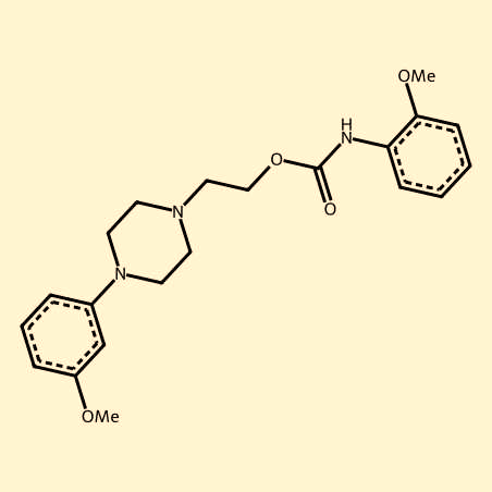 COc1cccc(N2CCN(CCOC(=O)Nc3ccccc3OC)CC2)c1